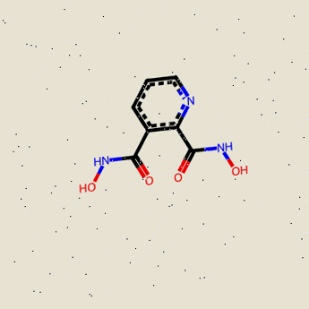 O=C(NO)c1cccnc1C(=O)NO